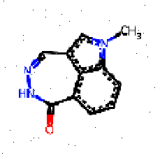 Cn1cc2c3c(cccc31)C(=O)NN=C2